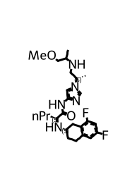 CCC[C@H](N[C@H]1CCc2cc(F)cc(F)c2C1)C(=O)Nc1cn([C@@H](C)CNC(C)COC)cn1